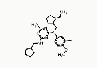 CCN1CCCC1CN(c1ccc(OC)c(F)c1)c1nc(N)nc(NCC2CCCC2)n1